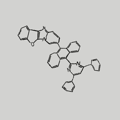 c1ccc(-c2cc(-c3ccccc3)nc(-c3c4ccccc4c(-c4ccc5nc6c7ccccc7oc6n5c4)c4ccccc34)n2)cc1